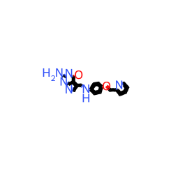 NC1=NC(=O)C2=C(CNc3ccc(OCc4ccccn4)cc3)C=NC2=N1